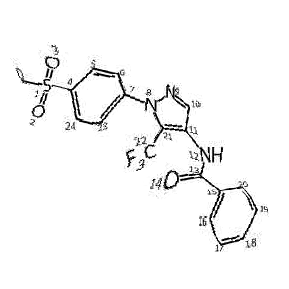 CS(=O)(=O)c1ccc(-n2ncc(NC(=O)c3ccccc3)c2C(F)(F)F)cc1